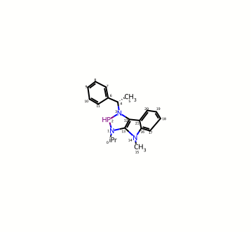 CC(C)N1PN([C@@H](C)c2ccccc2)c2c1n(C)c1ccccc21